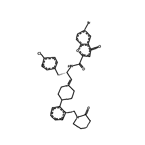 O=C(N[C@H](C=C1CCC(c2ccccc2CN2CCCCC2=O)CC1)Cc1ccc(Cl)cc1)c1cc(=O)c2cc(Br)ccc2o1